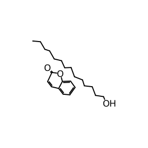 CCCCCCCCCCCCCCO.O=c1ccc2ccccc2o1